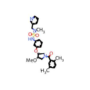 CO[C@@H]1CN(C(=O)c2cc(C)ccc2C)C[C@H]1Oc1cccc(NS(=O)(=O)N(C)Cc2cccnc2)c1